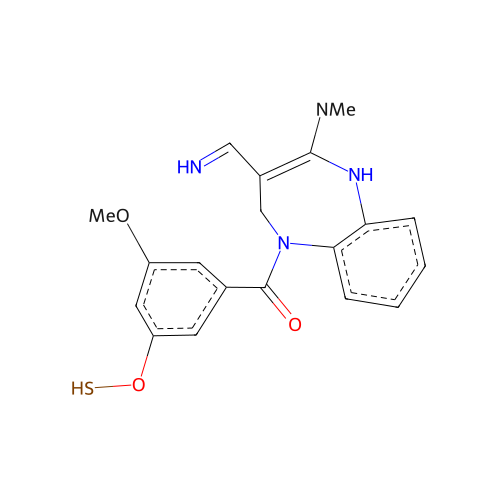 CNC1=C(C=N)CN(C(=O)c2cc(OC)cc(OS)c2)c2ccccc2N1